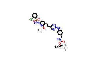 COc1nc(NS(=O)(=O)c2ccccc2Cl)ccc1/C=C/c1cnc(NC2CCC(CNC(=O)OC(C)(C)C)CC2)nc1